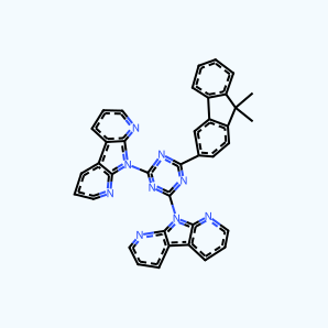 CC1(C)c2ccccc2-c2cc(-c3nc(-n4c5ncccc5c5cccnc54)nc(-n4c5ncccc5c5cccnc54)n3)ccc21